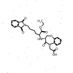 CCOC(=O)C(CCCCN1C(=O)c2ccccc2C1=O)N[C@H]1COc2ccccc2N(CC(=O)O)C1=O